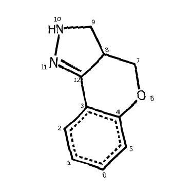 c1ccc2c(c1)OCC1CNN=C21